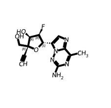 C#C[C@]1(CO)O[C@@H](c2cnc3c(C)nc(N)nn23)[C@H](F)[C@@H]1O